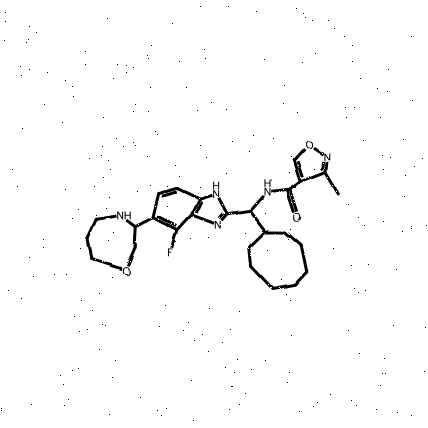 Cc1nocc1C(=O)NC(c1nc2c(F)c(C3COCCCN3)ccc2[nH]1)C1CCCCCCC1